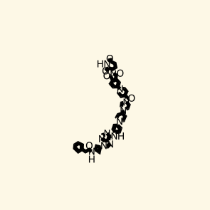 O=C1CC[C@H](N2C(=O)c3ccc(N4CCC(C(=O)N5CCN(C6CCN(c7ccc(Nc8ncnc9c8ncn9C8CC(NC(=O)Cc9ccccc9)C8)cc7)CC6)CC5)CC4)cc3C2=O)C(=O)N1